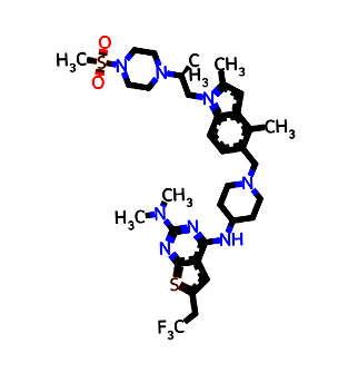 Cc1c(CN2CCC(Nc3nc(N(C)C)nc4sc(CC(F)(F)F)cc34)CC2)ccc2c1cc(C)n2C[C@H](C)N1CCN(S(C)(=O)=O)CC1